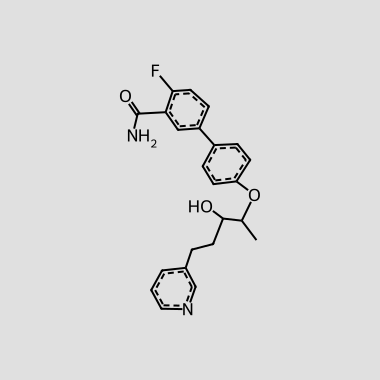 CC(Oc1ccc(-c2ccc(F)c(C(N)=O)c2)cc1)C(O)CCc1cccnc1